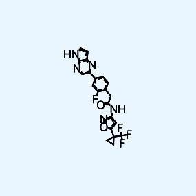 O=C(Cc1ccc(-c2cnc3[nH]ccc3n2)cc1F)Nc1cc(C2(C(F)(F)F)CC2)on1